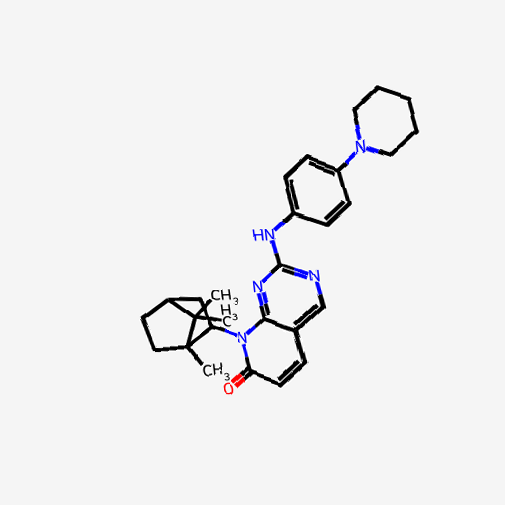 CC1(C)C2CCC1(C)C(n1c(=O)ccc3cnc(Nc4ccc(N5CCCCC5)cc4)nc31)C2